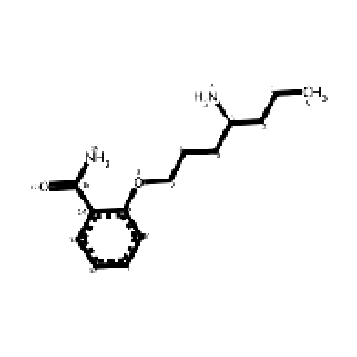 CCC[C@H](N)CCCOc1ccccc1C(N)=O